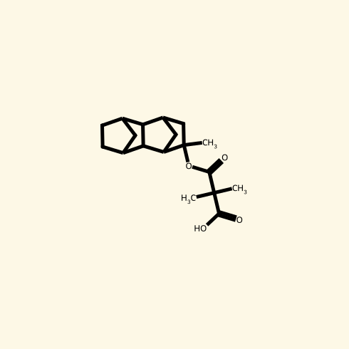 CC(C)(C(=O)O)C(=O)OC1(C)CC2CC1C1C3CCC(C3)C21